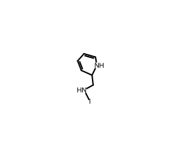 INCC1C=CC=CN1